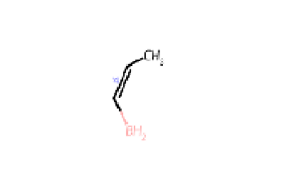 B/C=C\C